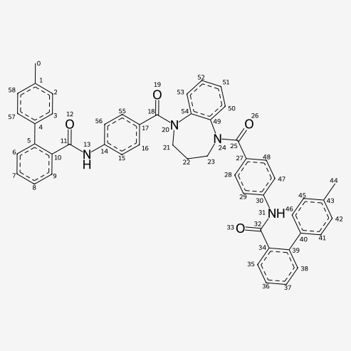 Cc1ccc(-c2ccccc2C(=O)Nc2ccc(C(=O)N3CCCN(C(=O)c4ccc(NC(=O)c5ccccc5-c5ccc(C)cc5)cc4)c4ccccc43)cc2)cc1